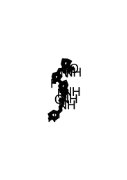 CN1CCC(CCNC(=O)Nc2nc3cc(-c4cc(Cc5n[nH]c(=O)c6ccccc56)ccc4F)ccc3[nH]2)CC1